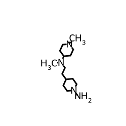 CN1CCC(N(C)CCC2CCN(N)CC2)CC1